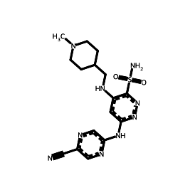 CN1CCC(CNc2cc(Nc3cnc(C#N)cn3)nnc2S(N)(=O)=O)CC1